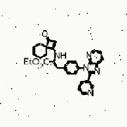 CCOC(=O)[C@H](Cc1ccc(-n2c(-c3cccnc3)nc3cccnc32)cc1)NC1=CC(=O)C12CCCCC2